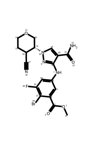 COC(=O)c1cc(Nc2nn([C@H]3COCCC3C#N)cc2C(N)=O)cc(F)c1Br